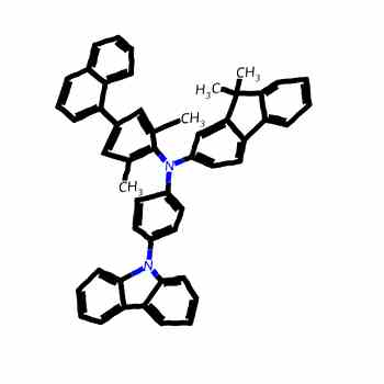 Cc1cc(-c2cccc3ccccc23)cc(C)c1N(c1ccc(-n2c3ccccc3c3ccccc32)cc1)c1ccc2c(c1)C(C)(C)c1ccccc1-2